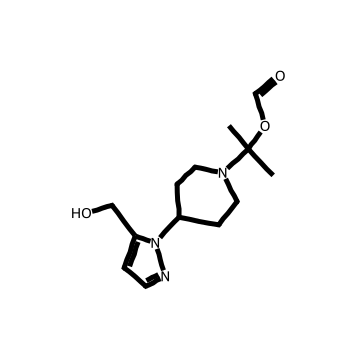 CC(C)(OC=O)N1CCC(n2nccc2CO)CC1